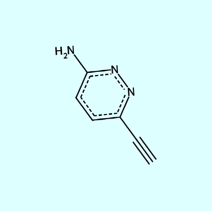 C#Cc1ccc(N)nn1